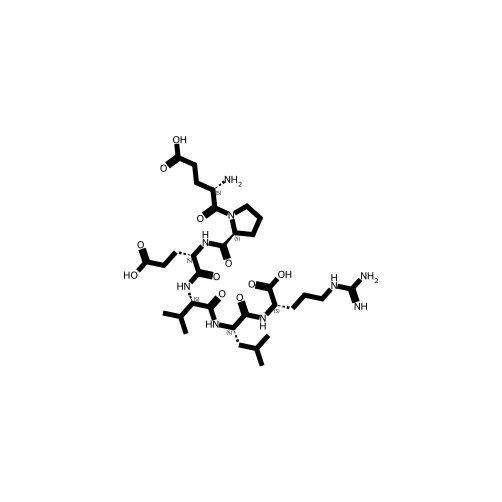 CC(C)C[C@H](NC(=O)[C@@H](NC(=O)[C@H](CCC(=O)O)NC(=O)[C@@H]1CCCN1C(=O)[C@@H](N)CCC(=O)O)C(C)C)C(=O)N[C@@H](CCCNC(=N)N)C(=O)O